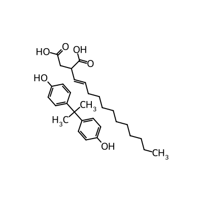 CC(C)(c1ccc(O)cc1)c1ccc(O)cc1.CCCCCCCCCCC=CC(CC(=O)O)C(=O)O